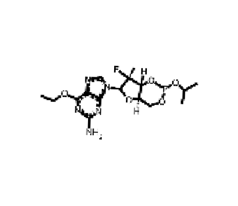 CCOc1nc(N)nc2c1ncn2[C@@H]1O[C@@H]2COP(OC(C)C)O[C@H]2[C@@]1(C)F